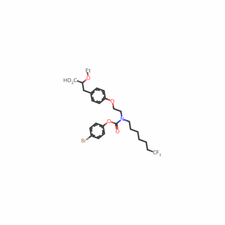 CCOC(Cc1ccc(OCCN(CCCCCCC(F)(F)F)C(=O)Oc2ccc(Br)cc2)cc1)C(=O)O